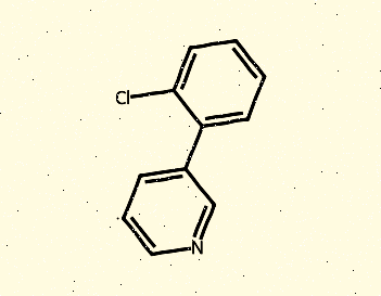 Clc1ccccc1-c1c[c]cnc1